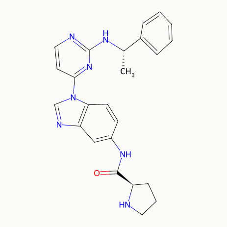 C[C@H](Nc1nccc(-n2cnc3cc(NC(=O)[C@H]4CCCN4)ccc32)n1)c1ccccc1